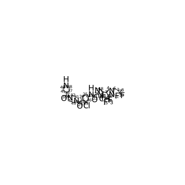 Cn1c(-c2cn(CC3CC3(F)F)nc2C(F)(F)F)cnc1C(=O)Nc1ccc(C(=O)N2CCN(C(=O)C3CCNCC3)CC2)c(Cl)c1